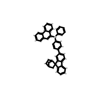 c1ccc(N(c2ccc(-c3ccc4c(c3)C3(CC5CCC3C5)c3ccccc3-4)cc2)c2cc3ccccc3c3ccccc23)cc1